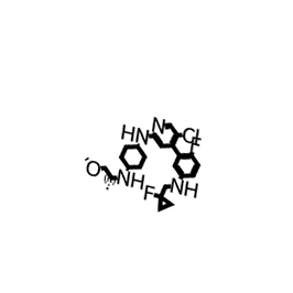 COC[C@@H](C)N[C@H]1CC[C@H](Nc2cc(-c3cc(NCC4(F)CC4)ccc3F)c(Cl)cn2)CC1